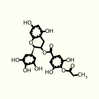 CCC(=O)Oc1c(O)cc(C(=O)OC2Cc3c(O)cc(O)cc3O[C@@H]2c2cc(O)c(O)c(O)c2)cc1O